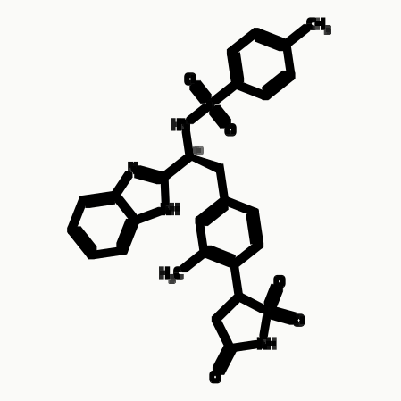 Cc1ccc(S(=O)(=O)N[C@@H](Cc2ccc(C3CC(=O)NS3(=O)=O)c(C)c2)c2nc3ccccc3[nH]2)cc1